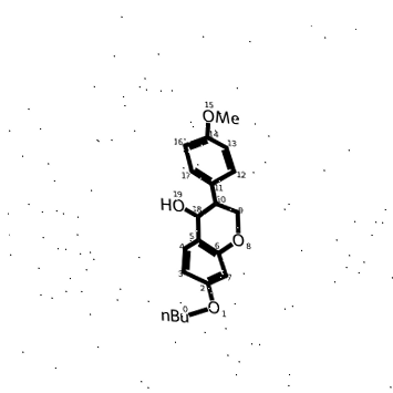 CCCCOc1ccc2c(c1)OCC(c1ccc(OC)cc1)C2O